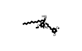 CCCCCCCCCCCCC(C#N)(CCCC(CCc1cc(OC)cc(OC)c1)N=NC)c1cccc(OCC)c1.Cl